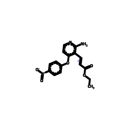 CCOC(=O)/C=C/c1c(Oc2ccc([N+](=O)[O-])cc2)ccnc1N